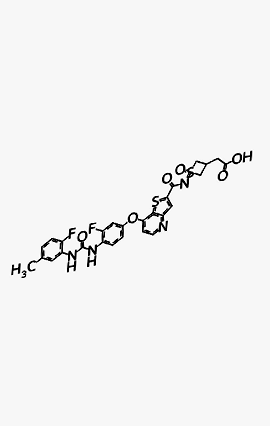 Cc1ccc(F)c(NC(=O)Nc2ccc(Oc3ccnc4cc(C(=O)N=S5(=O)CC(CC(=O)O)C5)sc34)cc2F)c1